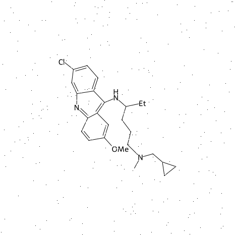 CCC(CCCN(C)CC1CC1)Nc1c2ccc(Cl)cc2nc2ccc(OC)cc12